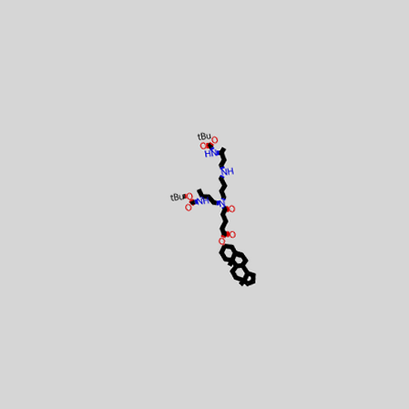 CC(CCNCCCCN(CCC(C)NC(=O)OC(C)(C)C)C(=O)CCCC(=O)OC1CCC2(C)C(=CCC3C4CCCC4(C)CCC32)C1)NC(=O)OC(C)(C)C